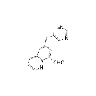 O=Cc1cc(Cc2cncnc2)cc2cccnc12